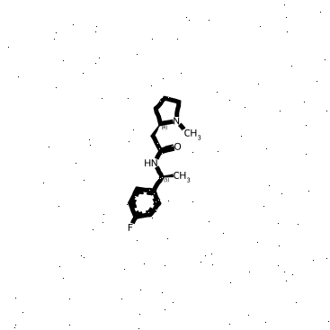 C[C@H](NC(=O)C[C@H]1CCCN1C)c1ccc(F)cc1